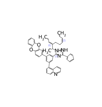 C=C/C=C\CC/C(=C\C=C)C(C)N/C(=N\C(=N)c1ccccc1)c1cc(-c2ccc3c(c2)Oc2ccccc2O3)cc(-c2cccc3ncccc23)c1